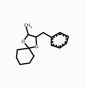 CC1OC2(CCCCC2)OC1Cc1ccccc1